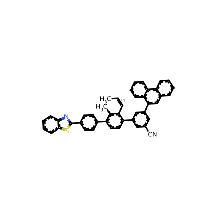 C/C=C\c1c(-c2cc(C#N)cc(-c3cc4ccccc4c4ccccc34)c2)ccc(-c2ccc(-c3nc4ccccc4s3)cc2)c1C